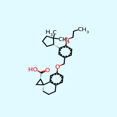 CCCOc1ccc(COc2ccc3c(c2)[C@@]2(CCC3)C[C@@H]2C(=O)O)cc1[C@@H]1CCCC1(C)C